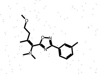 COCC/C(C)=C(\c1nc(-c2cccc(C)c2)no1)N(C)C